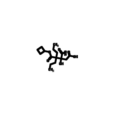 CCCC(CCC)(C(=O)OC1CCC1)C(O)(CC(=O)O)C(=O)O